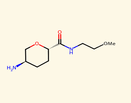 COCCNC(=O)[C@@H]1CC[C@@H](N)CO1